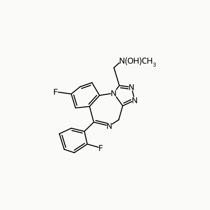 CN(O)Cc1nnc2n1-c1ccc(F)cc1C(c1ccccc1F)=NC2